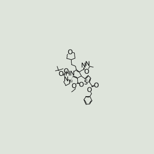 CCOC(=O)C1=C([C@@H]2CCCN2C(=O)OC(C)(C)C)NC(CCC2CCOCC2)=C(c2nnc(C)o2)C1c1ccc(C(=O)OCc2ccccc2)s1